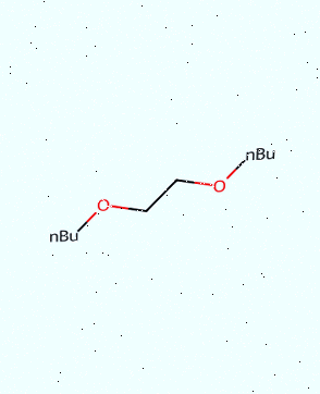 CCCCOCCOCCCC